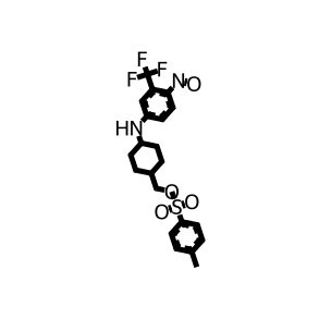 Cc1ccc(S(=O)(=O)OCC2CCC(Nc3ccc(N=O)c(C(F)(F)F)c3)CC2)cc1